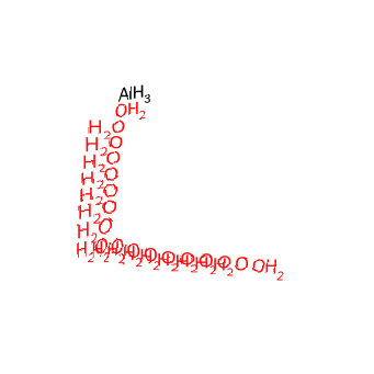 O.O.O.O.O.O.O.O.O.O.O.O.O.O.O.O.O.O.[AlH3]